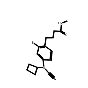 CNC(=O)CCCc1ccc(N(C#N)C2CCC2)cc1F